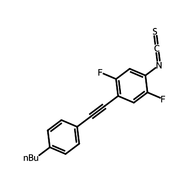 CCCCc1ccc(C#Cc2cc(F)c(N=C=S)cc2F)cc1